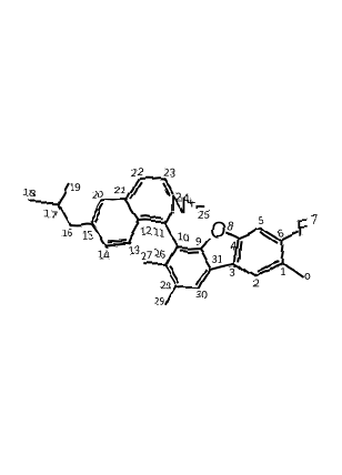 Cc1cc2c(cc1F)oc1c(-c3c4ccc(CC(C)C)cc4cc[n+]3C)c(C)c(C)cc12